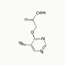 COC(=O)COc1ncncc1C(C)(C)C